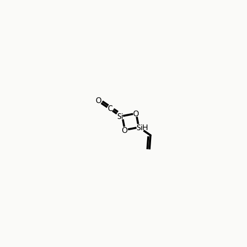 C=C[SiH]1O[Si](=C=O)O1